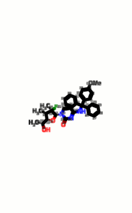 COc1ccc(C(Nc2ccn([C@@H]3O[C@H]([C@@H](C)O)[C@@H](C)[C@@]3(C)F)c(=O)n2)(c2ccccc2)c2ccccc2)cc1